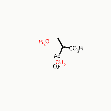 CC(=O)C(C)C(=O)O.O.O.[Cu]